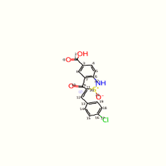 O=C(O)c1ccc2c(c1)C(=O)/C(=C/c1ccc(Cl)cc1)[S+]([O-])N2